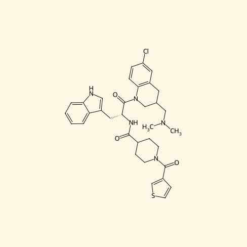 CN(C)CC1Cc2cc(Cl)ccc2N(C(=O)[C@@H](Cc2c[nH]c3ccccc23)NC(=O)C2CCN(C(=O)c3ccsc3)CC2)C1